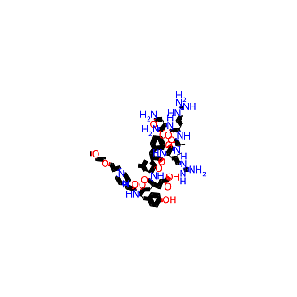 COCCOCCCN1CCN(CC(=O)N[C@@H](Cc2ccc(O)cc2)C(=O)C[C@@H](CCC(=O)O)C(=O)N[C@@H](CC(C)C)C(=O)C[C@@H](Cc2ccccc2)C(=O)N[C@@H](CCCNC(=N)N)C(=O)N(C)[C@@H](C)C(=O)N[C@@H](CCCNC(=N)N)C(=O)N[C@@H](CC(N)=O)C(N)=O)CC1